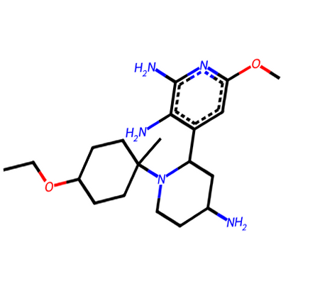 CCOC1CCC(C)(N2CCC(N)CC2c2cc(OC)nc(N)c2N)CC1